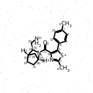 Cc1ccc(-c2sc(C)nc2C(=O)N2[C@@H]3CC[C@@H](C3)[C@H]2CN)cc1